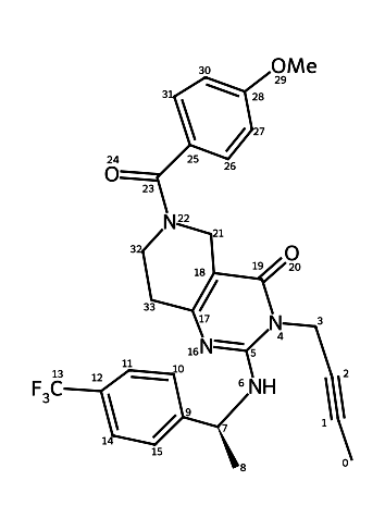 CC#CCn1c(N[C@@H](C)c2ccc(C(F)(F)F)cc2)nc2c(c1=O)CN(C(=O)c1ccc(OC)cc1)CC2